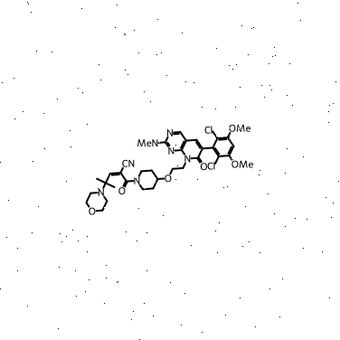 CNc1ncc2cc(-c3c(Cl)c(OC)cc(OC)c3Cl)c(=O)n(CCOC3CCN(C(=O)/C(C#N)=C\C(C)(C)N4CCOCC4)CC3)c2n1